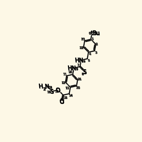 CC(C)(C)c1ccc(CNC(=S)Nc2ccc(CC(=O)OSN)cc2)cc1